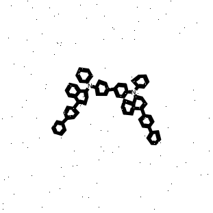 c1ccc(-c2ccc(-c3ccc(N(c4ccccc4)c4ccc(-c5ccc(N(c6ccccc6)c6ccc(-c7ccc(-c8ccccc8)cc7)c7ccccc67)cc5)cc4)c4ccccc34)cc2)cc1